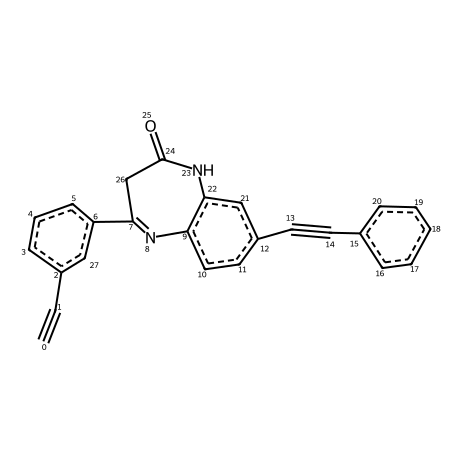 C#Cc1cccc(C2=Nc3ccc(C#Cc4ccccc4)cc3NC(=O)C2)c1